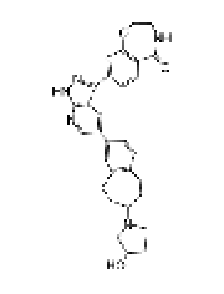 O=C1NCCOc2cc(-c3n[nH]c4ncc(-c5ccc6c(c5)CCC(N5CCC(O)C5)CC6)cc34)ccc21